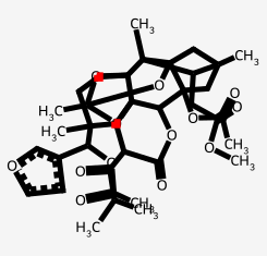 COC(=O)CC1C2(C)CC3(OC(C)=O)C4OC(=O)C(C(=O)C(C)C)C5C(C)(C(OC(C)=O)c6ccoc6)CCC67OC(C)(OC546)OC3(C2)C17C